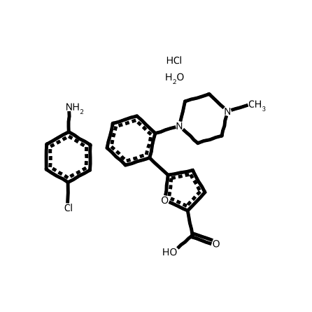 CN1CCN(c2ccccc2-c2ccc(C(=O)O)o2)CC1.Cl.Nc1ccc(Cl)cc1.O